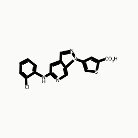 O=C(O)c1cc(-n2ncc3cc(Nc4ccccc4Cl)ncc32)cs1